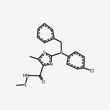 CSNC(=O)c1nc(N(Cc2ccccc2)c2ccc(Cl)cc2)sc1C